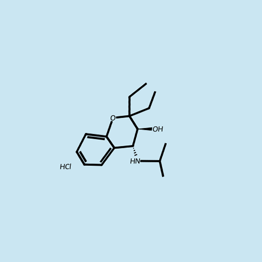 CCC1(CC)Oc2ccccc2[C@@H](NC(C)C)[C@@H]1O.Cl